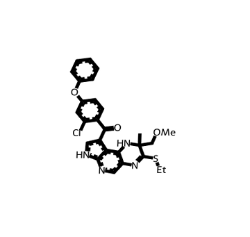 CCSC1=Nc2cnc3[nH]cc(C(=O)c4ccc(Oc5ccccc5)cc4Cl)c3c2NC1(C)COC